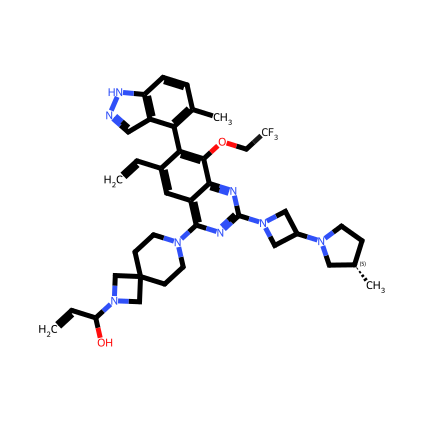 C=Cc1cc2c(N3CCC4(CC3)CN(C(O)C=C)C4)nc(N3CC(N4CC[C@H](C)C4)C3)nc2c(OCC(F)(F)F)c1-c1c(C)ccc2[nH]ncc12